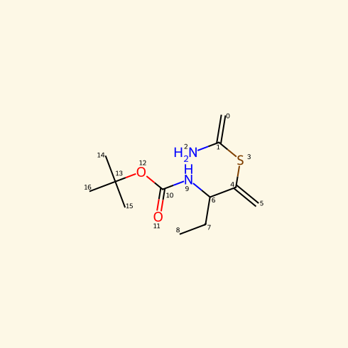 C=C(N)SC(=C)C(CC)NC(=O)OC(C)(C)C